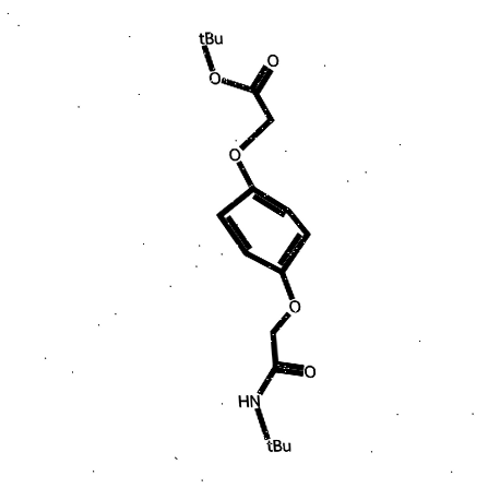 CC(C)(C)NC(=O)COc1ccc(OCC(=O)OC(C)(C)C)cc1